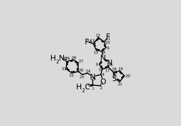 C=C1COC(c2cn(-c3cc(F)cc(F)c3)nc2-c2cccs2)N1CCc1ccc(N)cc1